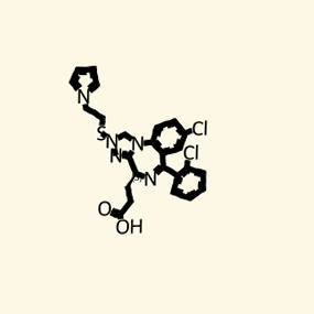 O=C(O)CC[C@@H]1N=C(c2ccccc2Cl)c2cc(Cl)ccc2N2CN(SCCn3cccc3)N=C12